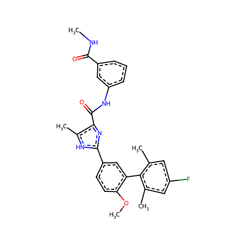 CNC(=O)c1cccc(NC(=O)c2nc(-c3ccc(OC)c(-c4c(C)cc(F)cc4C)c3)[nH]c2C)c1